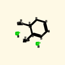 CC(C)(C)B1CC=CC=[C]1[Zr+2].[Cl-].[Cl-]